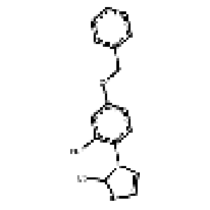 CCC1NC=CN1c1ccc(OCc2ccccc2)cc1O